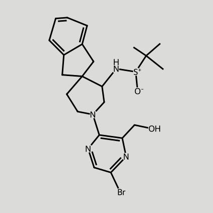 CC(C)(C)[S+]([O-])NC1CN(c2ncc(Br)nc2CO)CCC12Cc1ccccc1C2